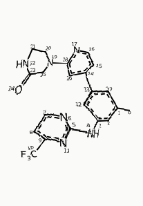 Cc1cc(Nc2nccc(C(F)(F)F)n2)cc(-c2ccnc(N3CCNC(=O)C3)c2)c1